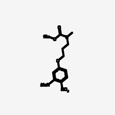 CNc1cc(OCCCN(C)C(=O)OC(C)(C)C)ccc1[N+](=O)[O-]